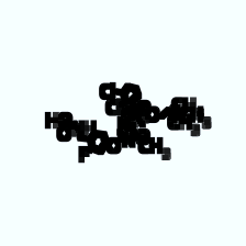 COc1nc(Oc2ccc(CNC(=O)O)c(F)c2)cnc1N(COCC[Si](C)(C)C)S(=O)(=O)c1cccc(Cl)c1Cl